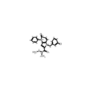 CON(C)C(=O)c1cc2c(ccc(=O)n2-c2ccccc2)n1Cc1cccc(Cl)c1